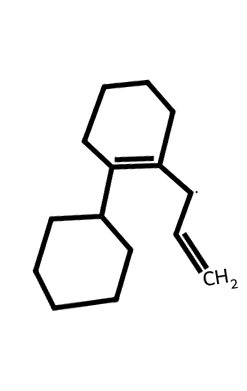 C=C[CH]C1=C(C2CCCCC2)CCCC1